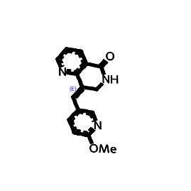 COc1ccc(/C=C2\CNC(=O)c3cccnc32)cn1